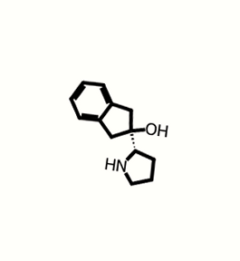 OC1([C@@H]2CCCN2)Cc2ccccc2C1